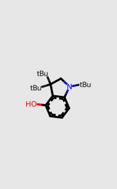 CC(C)(C)N1CC(C(C)(C)C)(C(C)(C)C)c2c(O)cccc21